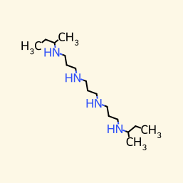 CCC(C)NCCCNCCCNCCCNC(C)CC